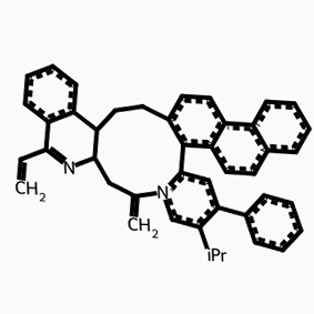 C=CC1=NC2CC(=C)[n+]3cc(C(C)C)c(-c4ccccc4)cc3-c3c(ccc4c3ccc3ccccc34)CCC2c2ccccc21